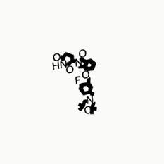 CC1(C)CN(CC2C=C(COc3cccc4c3CN(C3CCC(=O)NC3=O)C4=O)C(F)=CC2)CC(C)(C)O1